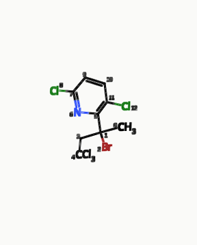 CC(Br)(CC(Cl)(Cl)Cl)c1nc(Cl)ccc1Cl